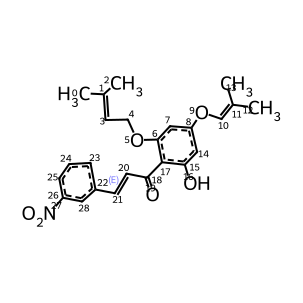 CC(C)=CCOc1cc(OC=C(C)C)cc(O)c1C(=O)/C=C/c1cccc([N+](=O)[O-])c1